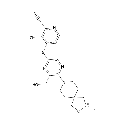 C[C@H]1CC2(CCN(c3ncc(Sc4ccnc(C#N)c4Cl)nc3CO)CC2)CO1